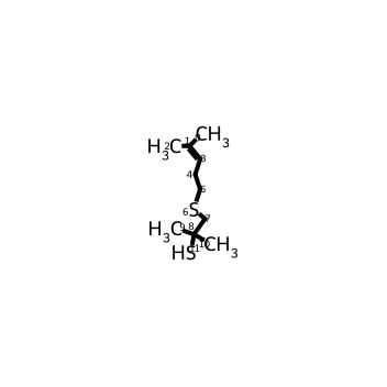 CC(C)=CCCSCC(C)(C)S